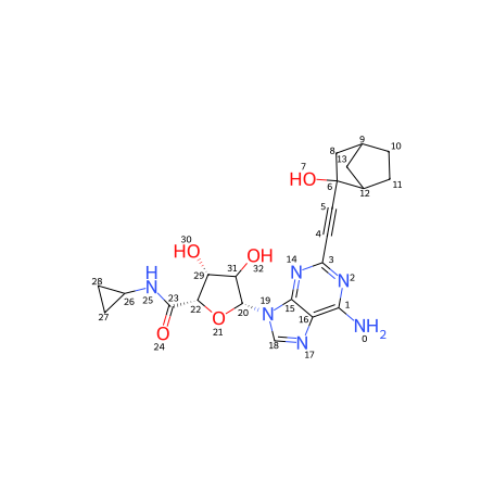 Nc1nc(C#CC2(O)CC3CCC2C3)nc2c1ncn2[C@@H]1O[C@H](C(=O)NC2CC2)[C@H](O)C1O